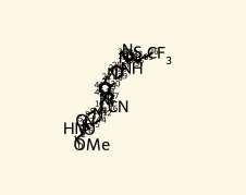 COCCNS(=O)(=O)N1CCN([C@@H](C)Cn2c(C#N)cc3c(C)c(CN4CCC(Nc5ncnc6sc(CC(F)(F)F)cc56)CC4)ccc32)CC1